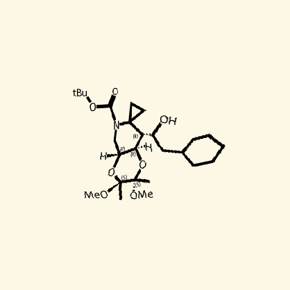 CO[C@@]1(C)O[C@@H]2[C@@H](C(O)CC3CCCCC3)C3(CC3)N(C(=O)OC(C)(C)C)C[C@H]2O[C@]1(C)OC